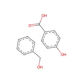 O=C(O)c1ccc(O)cc1.OCc1ccccc1